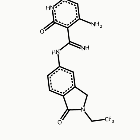 N=C(Nc1ccc2c(c1)CN(CC(F)(F)F)C2=O)c1c(N)cc[nH]c1=O